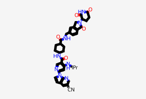 CC(C)Nc1cc(-n2ccc3cc(C#N)cnc32)ncc1C(=O)NC1CCC(C(=O)NCc2ccc3c(c2)CN(C2CCC(=O)NC2=O)C3=O)CC1